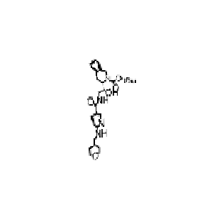 CC(C)(C)OC(=O)N1Cc2ccccc2C[C@H]1C(O)CNC(=O)c1ccc(NCC2CCOCC2)nc1